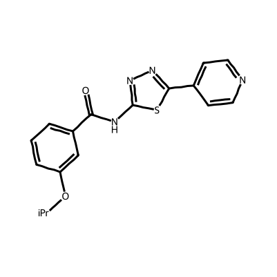 CC(C)Oc1cccc(C(=O)Nc2nnc(-c3ccncc3)s2)c1